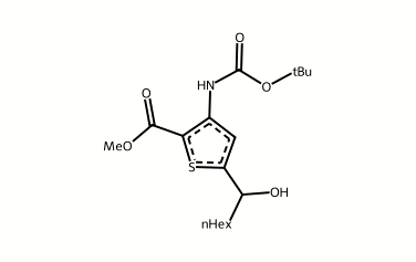 CCCCCCC(O)c1cc(NC(=O)OC(C)(C)C)c(C(=O)OC)s1